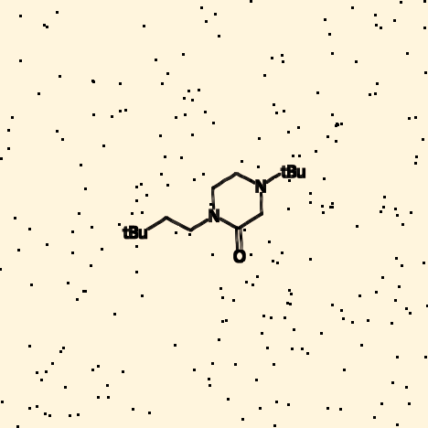 CC(C)(C)CCN1CCN(C(C)(C)C)CC1=O